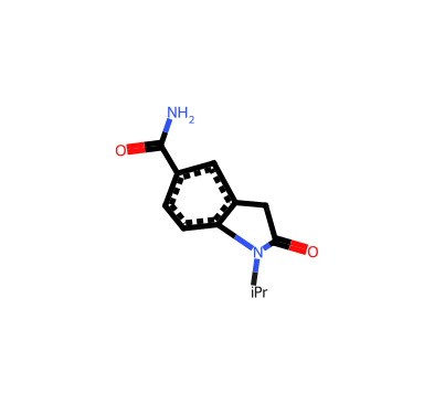 CC(C)N1C(=O)Cc2cc(C(N)=O)ccc21